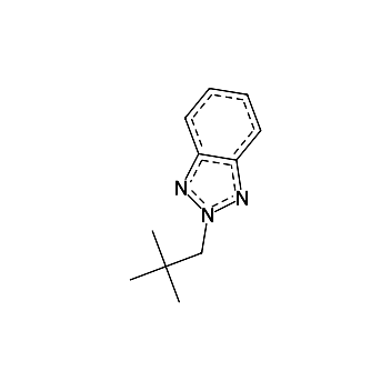 CC(C)(C)Cn1nc2ccccc2n1